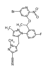 Cc1cc(Cc2cc(C#N)nn2C)n(-c2ccc(F)cc2C(C)Oc2cc(Br)cnc2[N+](=O)[O-])n1